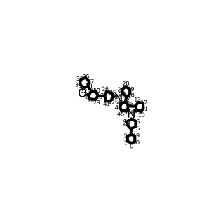 c1ccc(-c2ccc(-n3c4ccccc4c4c5c6ccccc6n(-c6ccc(-c7ccc8oc9ccccc9c8c7)cc6)c5ccc43)cc2)cc1